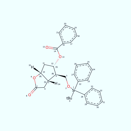 CC(C)(C)[Si](OC[C@H]1[C@@H]2CC(=O)O[C@@H]2C[C@@H]1OC(=O)c1ccccc1)(c1ccccc1)c1ccccc1